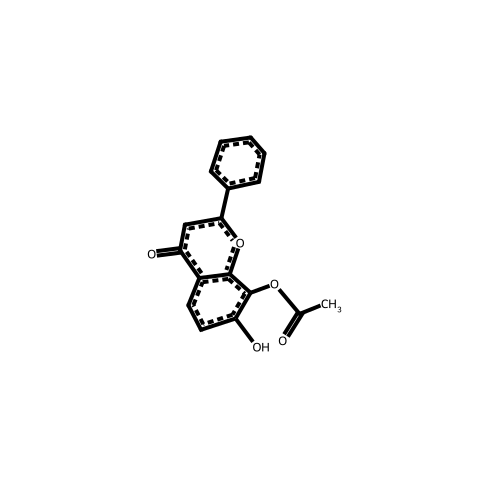 CC(=O)Oc1c(O)ccc2c(=O)cc(-c3ccccc3)oc12